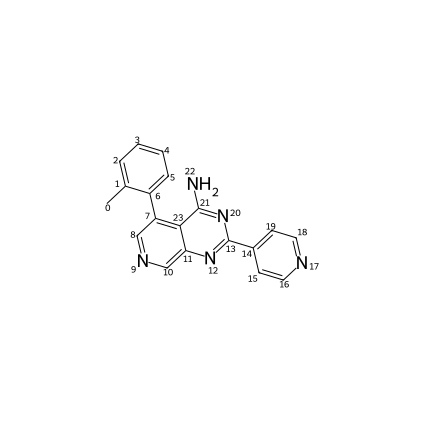 Cc1ccccc1-c1cncc2nc(-c3ccncc3)nc(N)c12